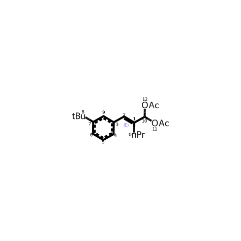 CCC/C(=C\c1cccc(C(C)(C)C)c1)C(OC(C)=O)OC(C)=O